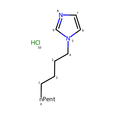 CCCCCCCCCn1ccnc1.Cl